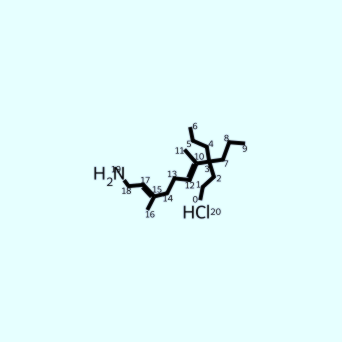 CCCC(CCC)(CCC)C(C)=CCCC(C)=CCN.Cl